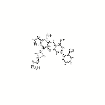 CCCc1c(Cc2ccc(-c3ccccc3C#N)cc2F)c(=O)n([C@H]2C[C@H](OCC(=O)O)C2)c2ncnn12